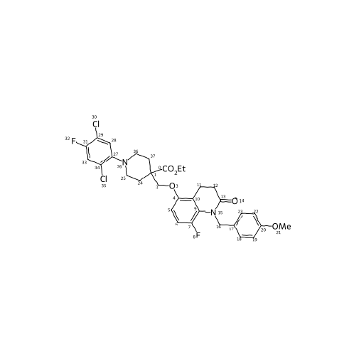 CCOC(=O)C1(COc2ccc(F)c3c2CCC(=O)N3Cc2ccc(OC)cc2)CCN(c2cc(Cl)c(F)cc2Cl)CC1